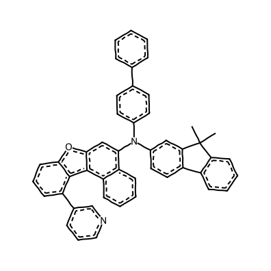 CC1(C)c2ccccc2-c2ccc(N(c3ccc(-c4ccccc4)cc3)c3cc4oc5cccc(-c6cccnc6)c5c4c4ccccc34)cc21